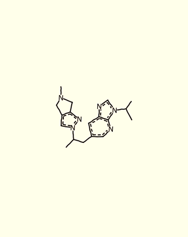 CC(Cc1cnc2c(c1)ncn2C(C)C)n1cc2c(n1)CN(C)C2